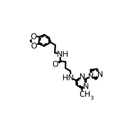 Cc1cc(NCCCC(=O)NCCc2ccc3c(c2)OCO3)nc(-n2ccnc2)n1